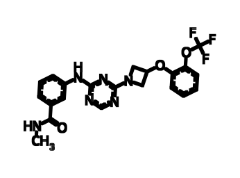 CNC(=O)c1cccc(Nc2ncnc(N3CC(Oc4ccccc4OC(F)(F)F)C3)n2)c1